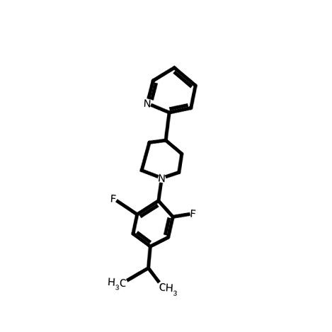 CC(C)c1cc(F)c(N2CCC(c3ccccn3)CC2)c(F)c1